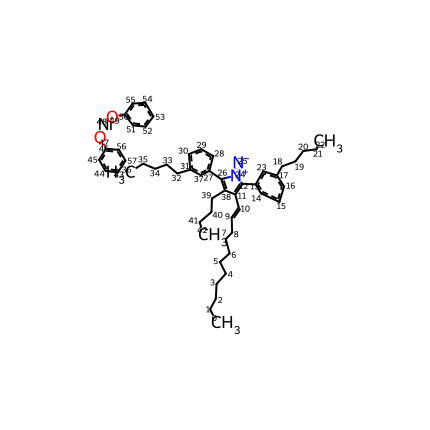 CCCCCCCCCC=CC1=C(c2cccc(CCCCC)c2)[N+](=[N-])C(c2cccc(CCCCC)c2)=C1CCCC.c1ccc([O][Ni][O]c2ccccc2)cc1